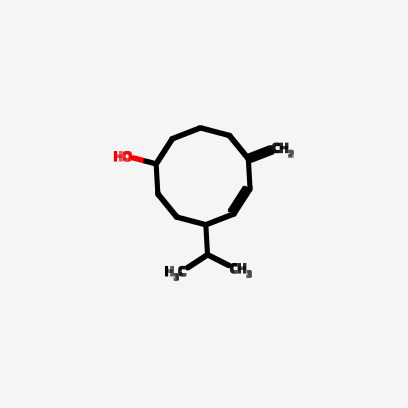 C=C1C=CC(C(C)C)CCC(O)CCC1